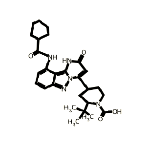 CC(C)(C)C1CC(c2cc(=O)[nH]c3c4c(NC(=O)C5CCCCC5)cccc4nn23)CCN1C(=O)O